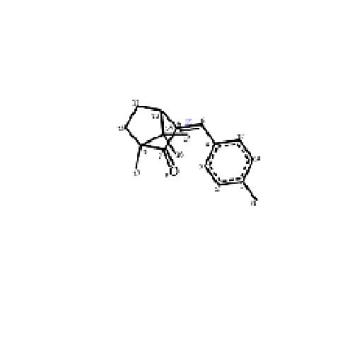 Cc1ccc(/C=C2\C(=O)C3(C)CCC2C3(C)C)cc1